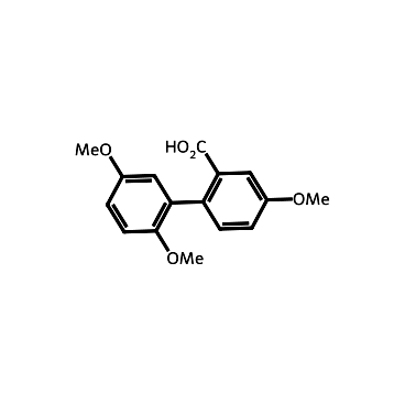 COc1ccc(-c2cc(OC)ccc2OC)c(C(=O)O)c1